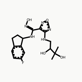 CC(C)(O)C(O)CNc1nonc1C(=NO)NC1CCc2ccc(F)cc21